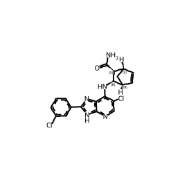 NC(=O)[C@@H]1[C@H](Nc2c(Cl)cnc3[nH]c(-c4cccc(Cl)c4)nc23)[C@H]2C=C[C@@H]1C2